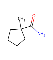 CC1(C(N)=O)CCCC1